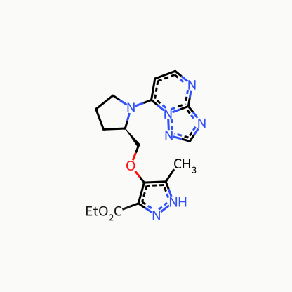 CCOC(=O)c1n[nH]c(C)c1OC[C@H]1CCCN1c1ccnc2ncnn12